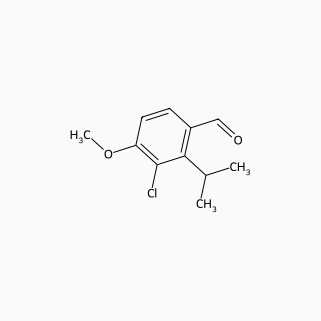 COc1ccc(C=O)c(C(C)C)c1Cl